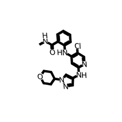 CNC(=O)c1ccccc1Nc1cc(Nc2cnn(C3CCOCC3)c2)ncc1Cl